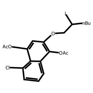 CCCCC(I)COc1cc(OC(C)=O)c2c(Cl)cccc2c1OC(C)=O